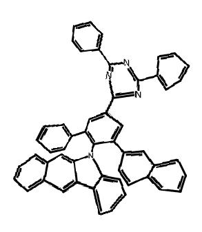 c1ccc(-c2nc(-c3ccccc3)nc(-c3cc(-c4ccccc4)c(-n4c5ccccc5c5cc6ccccc6cc54)c(-c4ccc5ccccc5c4)c3)n2)cc1